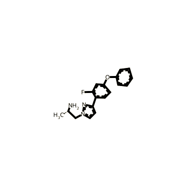 C[C@H](N)Cn1ccc(-c2ccc(Oc3ccccc3)cc2F)n1